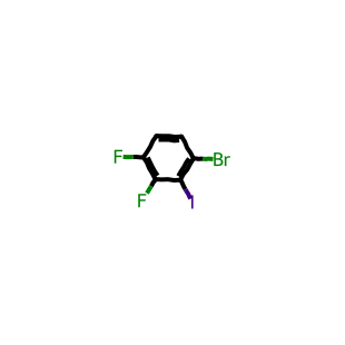 Fc1ccc(Br)c(I)c1F